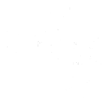 COc1cccc(C(N[C@@H](C)c2cccc(F)c2)c2cccc(Nc3c(NCCS(=O)(=O)O)c(=O)c3=O)c2)c1